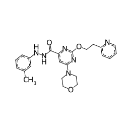 Cc1cccc(NNC(=O)c2cc(N3CCOCC3)nc(OCCc3ccccn3)n2)c1